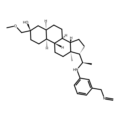 C=NCc1cccc(N[C@H](C)[C@H]2CC[C@H]3[C@@H]4CC[C@@H]5C[C@@](O)(COC)CC[C@@H]5[C@H]4CC[C@]23C)c1